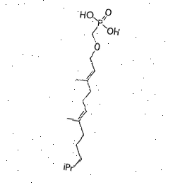 C/C(=C\COCP(=O)(O)O)CC/C=C(\C)CCCC(C)C